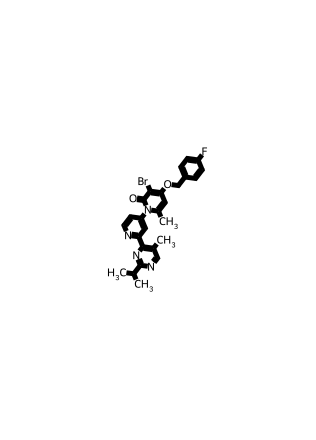 Cc1cnc(C(C)C)nc1-c1cc(-n2c(C)cc(OCc3ccc(F)cc3)c(Br)c2=O)ccn1